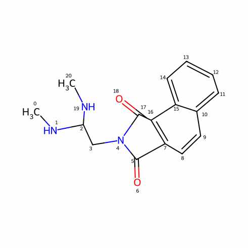 CNC(CN1C(=O)c2ccc3ccccc3c2C1=O)NC